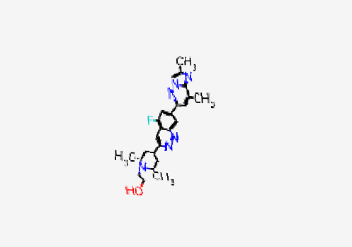 Cc1cn2nc(-c3cc(F)c4cc(C5C[C@@H](C)N(CCO)[C@H](C)C5)nnc4c3)cc(C)c2n1